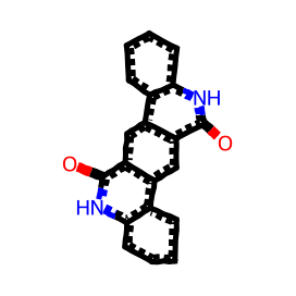 O=c1[nH]c2ccccc2c2cc3c(=O)[nH]c4ccccc4c3cc12